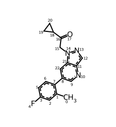 Cc1cc(F)ccc1-c1cnc2cnn(CC(=O)C3CC3)c2c1